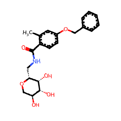 Cc1cc(OCc2ccccc2)ccc1C(=O)NC[C@H]1OC[C@H](O)[C@@H](O)[C@H]1O